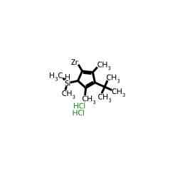 CC1=[C]([Zr])C([SiH](C)C)C(C)=C1C(C)(C)C.Cl.Cl